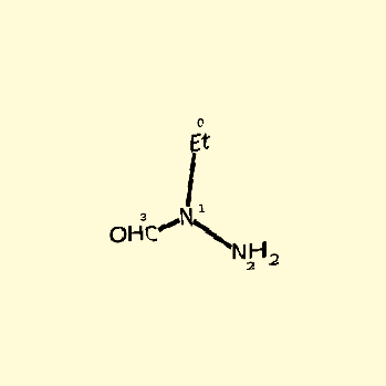 [CH2]CN(N)C=O